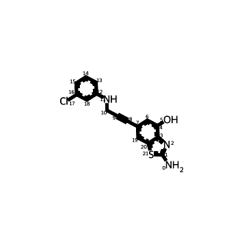 Nc1nc2c(O)cc(C#CCNc3cccc(Cl)c3)cc2s1